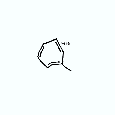 Br.Ic1ccccc1